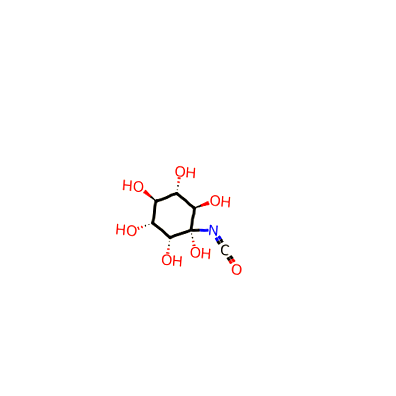 O=C=N[C@@]1(O)[C@H](O)[C@H](O)[C@@H](O)[C@H](O)[C@H]1O